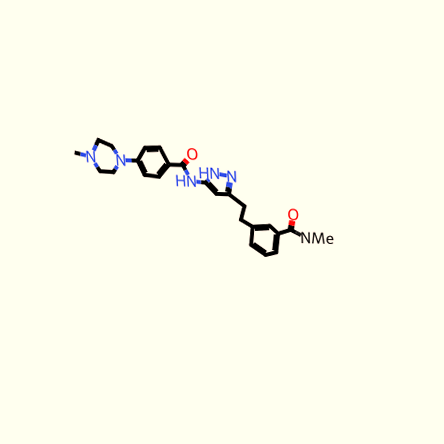 CNC(=O)c1cccc(CCc2cc(NC(=O)c3ccc(N4CCN(C)CC4)cc3)[nH]n2)c1